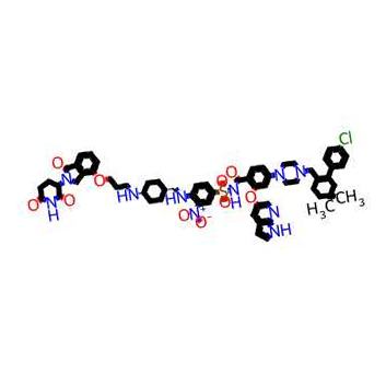 CC1(C)CCC(CN2CCN(c3ccc(C(=O)NS(=O)(=O)c4ccc(NC[C@H]5CC[C@@H](NCCCOc6cccc7c6CN(C6CCC(=O)NC6=O)C7=O)CC5)c([N+](=O)[O-])c4)c(Oc4cnc5[nH]ccc5c4)c3)CC2)=C(c2ccc(Cl)cc2)C1